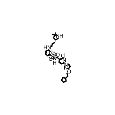 CC1(C)C[C@@H](CCCNc2cccc(S(=O)(=O)NC(=O)c3ccc(-n4ccc(OCCC5CCCC5)n4)nc3Cl)n2)CN1